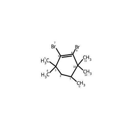 CC1CC(C)(C)C(Br)=C(Br)C1(C)C